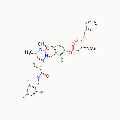 CN[C@@H](CC(=O)Oc1ccc(F)c(CN2C(=O)N(C)C(C)c3ccc(C(=O)NCc4c(F)cc(F)cc4F)cc32)c1Cl)C(=O)OCc1ccccc1